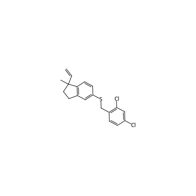 C=CC1(C)CCc2cc(SCc3ccc(Cl)cc3Cl)ccc21